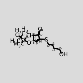 CC(C)(C)[Si](C)(C)O[C@H]1C=C(SCCCCO)C(=O)C1